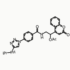 CC(=O)OC(CNC(=O)c1ccc(-n2cc(PC(C)C)nn2)cc1)c1cc(=O)oc2ccccc12